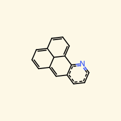 C1=CC2=CC=CC3=Cc4cccnc4C(=C1)C23